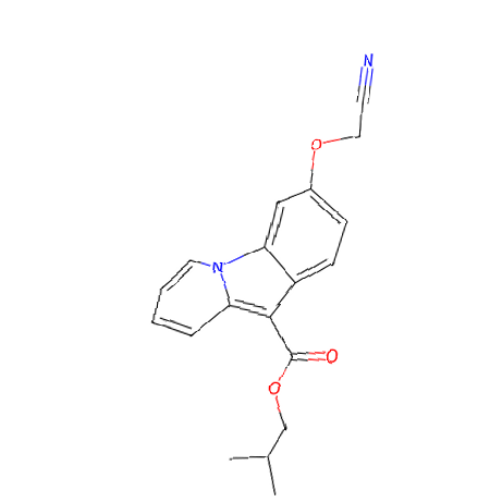 CC(C)COC(=O)c1c2ccc(OCC#N)cc2n2ccccc12